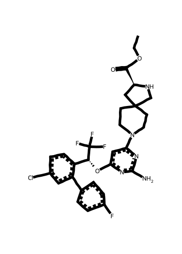 CCOC(=O)[C@@H]1CC2(CCN(c3cc(O[C@H](c4ccc(Cl)cc4-c4ccc(F)cc4)C(F)(F)F)nc(N)n3)CC2)CN1